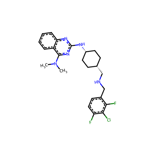 CN(C)c1nc(N[C@H]2CC[C@@H](CNCc3ccc(F)c(Cl)c3F)CC2)nc2ccccc12